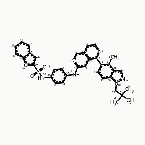 Cc1c(-c2nccc3cnc(Nc4ccc(NS(=O)(=O)c5cc6ccccc6o5)cc4)cc23)ccc2c1cnn2CC(C)(C)O